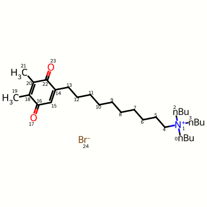 CCCC[N+](CCCC)(CCCC)CCCCCCCCCCC1=CC(=O)C(C)=C(C)C1=O.[Br-]